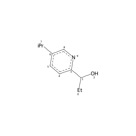 CCC(O)c1ccc(C(C)C)cn1